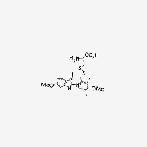 COc1ccc2[nH]c(-[n+]3cc(C)c(OC)c(C)c3CSSCC(N)C(=O)O)nc2c1